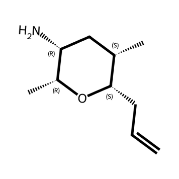 C=CC[C@@H]1O[C@H](C)[C@H](N)C[C@@H]1C